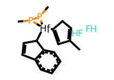 CC1=CC[C]([Hf]2([CH]3C=Cc4ccccc43)[P](C)[P]2C)=C1.F.F